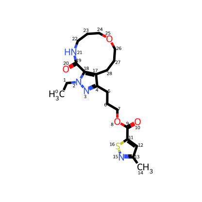 CCn1nc(CCCOC(=O)c2cc(C)ns2)c2c1C(=O)NCCCOCCC2